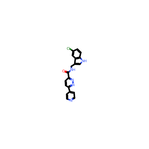 O=C(NCc1c[nH]c2ccc(Cl)cc12)c1ccc(-c2ccncc2)nn1